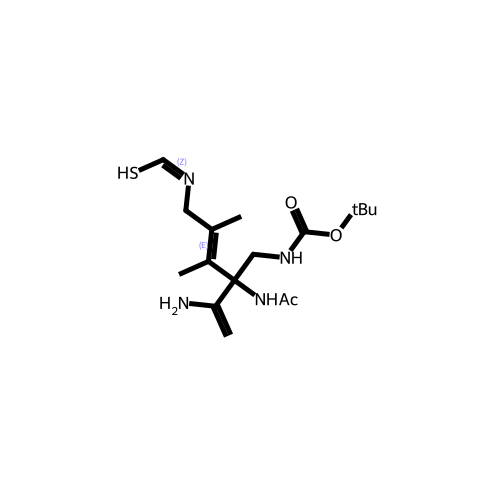 C=C(N)C(CNC(=O)OC(C)(C)C)(NC(C)=O)/C(C)=C(\C)C/N=C\S